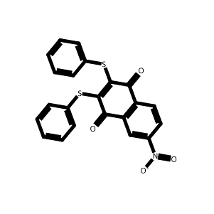 O=C1C(Sc2ccccc2)=C(Sc2ccccc2)C(=O)c2cc([N+](=O)[O-])ccc21